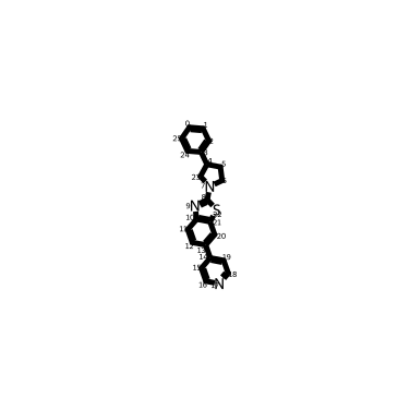 c1ccc(C2CCN(c3nc4ccc(-c5ccncc5)cc4s3)C2)cc1